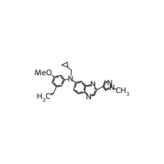 C=Cc1cc(OC)cc(N(CC2CC2)c2ccc3ncc(-c4cnn(C)c4)nc3c2)c1